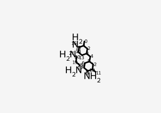 CC1CC(CC2CCC(N)C(C)C2)CCC1N.NCCCN